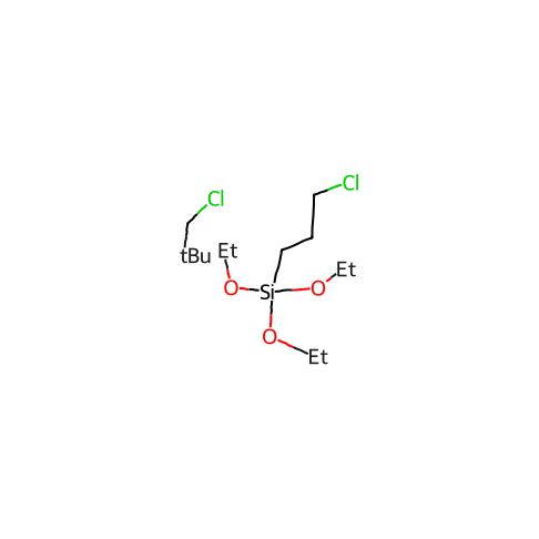 CC(C)(C)CCl.CCO[Si](CCCCl)(OCC)OCC